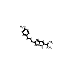 CC(C)c1cc2nc(CCCc3ccc(N)cc3)nn2[nH]1